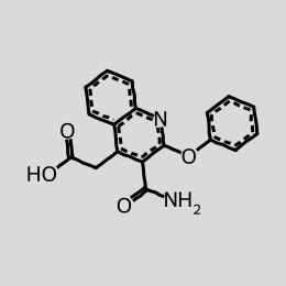 NC(=O)c1c(Oc2ccccc2)nc2ccccc2c1CC(=O)O